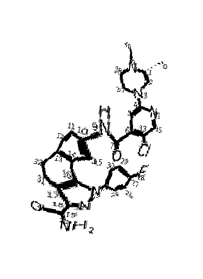 C[C@@H]1CN(c2cc(C(=O)Nc3ccc4c(c3)-c3c(c(C(N)=O)nn3-c3ccc(F)cc3)CC4)c(Cl)cn2)CCN1C